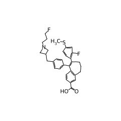 CSc1ccc(C2=C(c3ccc(CC4CN(CCCF)C4)cc3)c3ccc(C(=O)O)cc3CCC2)c(F)c1